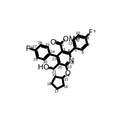 COC(=O)c1c(-c2ccc(F)cc2)nc(OC2CCCC2)c(CO)c1-c1ccc(F)cc1